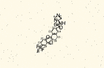 O=S(=O)(Nc1ncns1)c1ccc2c(c1)CCCC2Oc1ccc(C(F)(F)F)cc1Cl